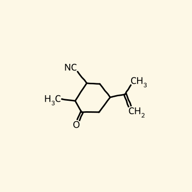 C=C(C)C1CC(=O)C(C)C(C#N)C1